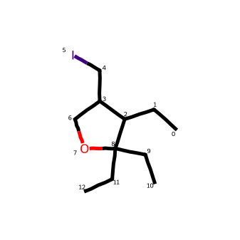 CCC1C(CI)COC1(CC)CC